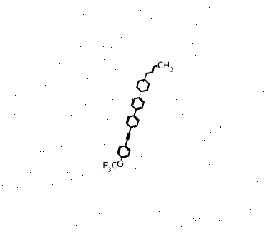 C=CCC[C@H]1CC[C@H](c2ccc(-c3ccc(C#Cc4ccc(OC(F)(F)F)cc4)cc3)cc2)CC1